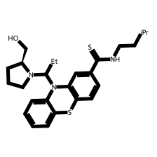 CCC(N1c2ccccc2Sc2ccc(C(=S)NCCC(C)C)cc21)N1CCC[C@H]1CO